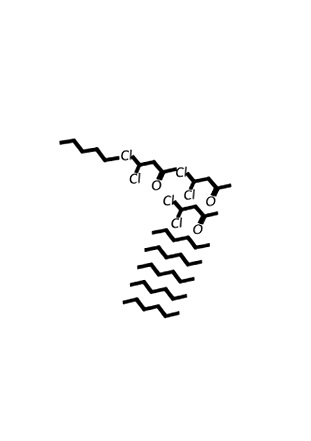 CC(=O)CC(Cl)Cl.CC(=O)CC(Cl)Cl.CC(=O)CC(Cl)Cl.CCCCCC.CCCCCC.CCCCCC.CCCCCC.CCCCCC.CCCCCC